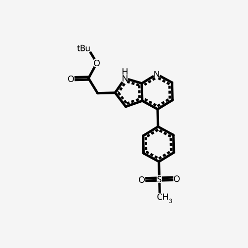 CC(C)(C)OC(=O)Cc1cc2c(-c3ccc(S(C)(=O)=O)cc3)ccnc2[nH]1